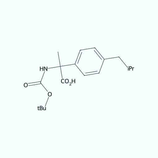 CC(C)Cc1ccc(C(C)(NC(=O)OC(C)(C)C)C(=O)O)cc1